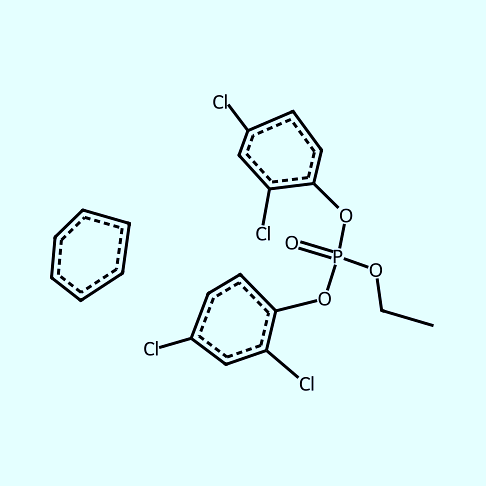 CCOP(=O)(Oc1ccc(Cl)cc1Cl)Oc1ccc(Cl)cc1Cl.c1ccccc1